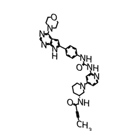 CC#CC(=O)N[C@@H]1CCCN(c2ccnc(NC(=O)Nc3ccc(-c4cc5c(N6CCOCC6)ncnc5[nH]4)cc3)c2)C1